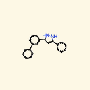 C1=C(c2ccccc2)NNC1c1cccc(-c2ccccc2)c1